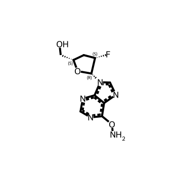 NOc1ncnc2c1ncn2[C@@H]1O[C@H](CO)C[C@@H]1F